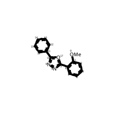 COc1ccccc1-c1nnc(-c2ccccc2)o1